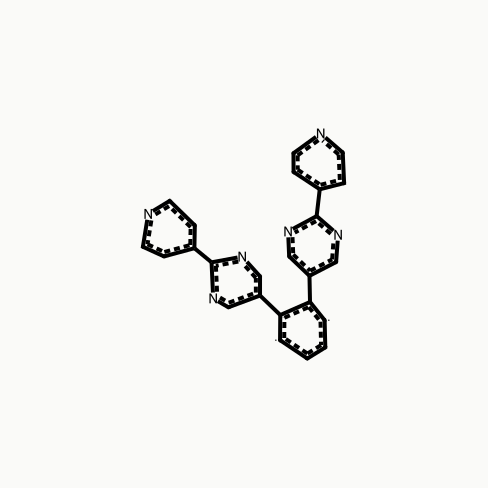 [c]1cc[c]c(-c2cnc(-c3ccncc3)nc2)c1-c1cnc(-c2ccncc2)nc1